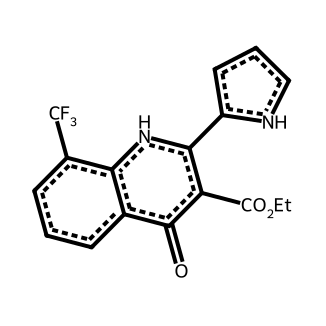 CCOC(=O)c1c(-c2ccc[nH]2)[nH]c2c(C(F)(F)F)cccc2c1=O